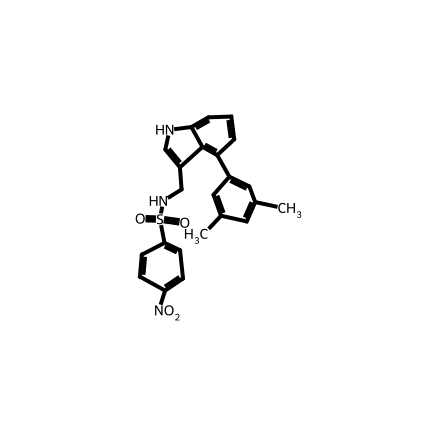 Cc1cc(C)cc(-c2cccc3[nH]cc(CNS(=O)(=O)c4ccc([N+](=O)[O-])cc4)c23)c1